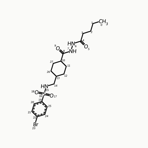 CCCCC(=O)NNC(=O)C1CCC(CNS(=O)(=O)c2ccc(Br)cc2)CC1